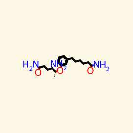 C[C@@H](Oc1cccc(CCCCCC(N)=O)c1)[C@@H](N)CCC(N)=O